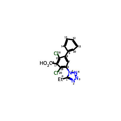 CCc1nnnn1-c1cc(-c2ccccc2)c(Cl)c(C(=O)O)c1Cl